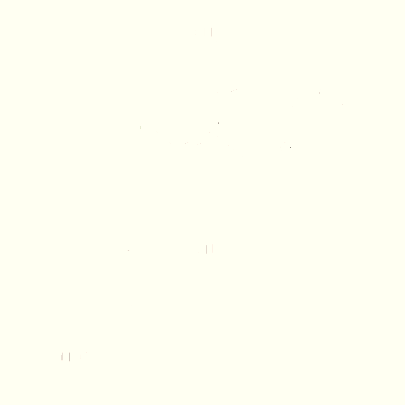 C=C\C=C(C=C)/C(C(/C)=C\CC)=C(\Cl)CCc1ccc(CC)cc1